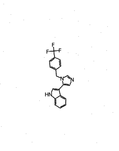 FC(F)(F)c1ccc(Cn2cncc2-c2c[nH]c3ccccc23)cc1